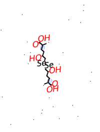 C/C(=C\CC(O)C[Se][Se]CC(O)C/C=C(\C)C(=O)O)C(=O)O